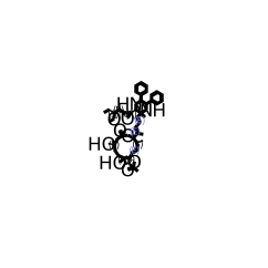 CC[C@H](OC)[C@@H](C)[C@H]1O[C@@H]1C1NC(c2ccccc2)C(c2ccccc2)NC1(C)/C=C/C=C(\C)C1OC(=O)C[C@H](O)CC[C@@](C)(O)[C@@H](OC(C)=O)/C=C/[C@@H]1C